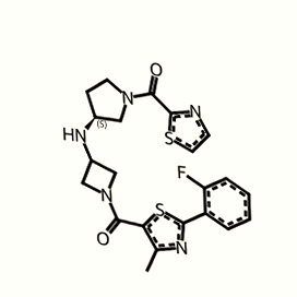 Cc1nc(-c2ccccc2F)sc1C(=O)N1CC(N[C@H]2CCN(C(=O)c3nccs3)C2)C1